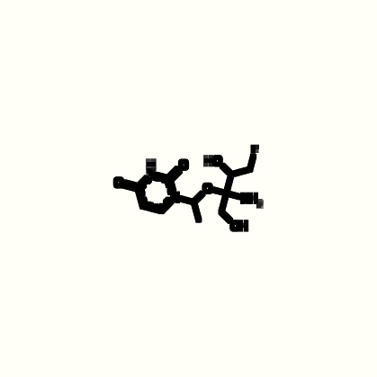 CC(OC(N)(CO)C(O)CF)n1ccc(=O)[nH]c1=O